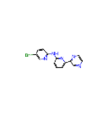 Brc1ccc(Nc2cccc(-c3cnccn3)n2)nc1